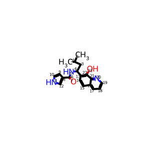 CC(C)CC(NC(=O)c1cc[nH]c1)c1ccc2cccnc2c1O